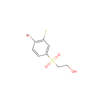 O=S(=O)(CCO)c1ccc(Br)c(F)c1